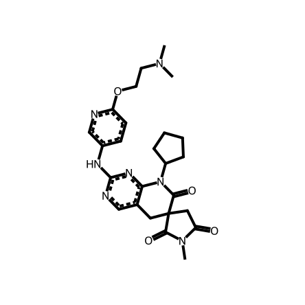 CN(C)CCOc1ccc(Nc2ncc3c(n2)N(C2CCCC2)C(=O)C2(CC(=O)N(C)C2=O)C3)cn1